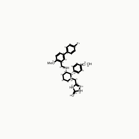 COc1ccc(-c2ccc(F)cc2)cc1CN[C@H]1CCCN(Cc2n[nH]c(=O)[nH]2)[C@H]1c1ccccc1.Cl.Cl